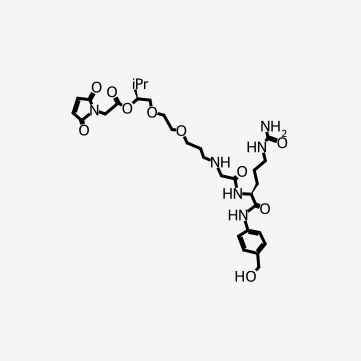 CC(C)[C@@H](COCCOCCCNCC(=O)N[C@@H](CCCNC(N)=O)C(=O)Nc1ccc(CO)cc1)OC(=O)CN1C(=O)C=CC1=O